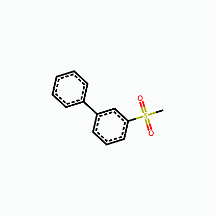 CS(=O)(=O)c1cc[c]c(-c2ccccc2)c1